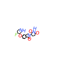 O=C1CCC(N2Cc3cc(O[C@@H]4CNCC[C@H]4F)ccc3C2=O)C(=O)N1